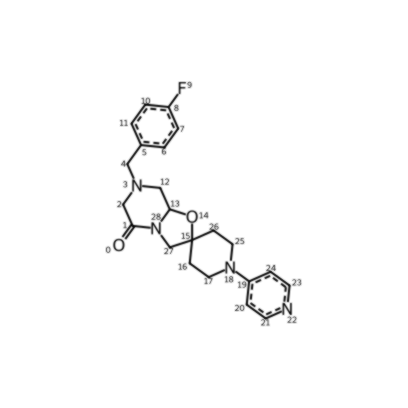 O=C1CN(Cc2ccc(F)cc2)CC2OC3(CCN(c4ccncc4)CC3)CN12